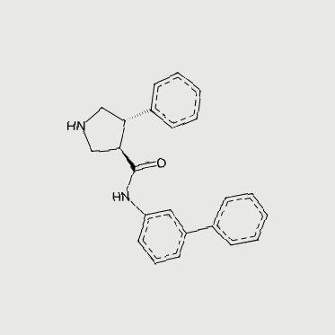 O=C(Nc1cccc(-c2ccccc2)c1)[C@H]1CNC[C@@H]1c1ccccc1